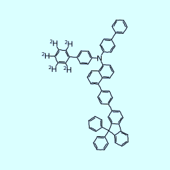 [2H]c1c([2H])c([2H])c(-c2ccc(N(c3ccc(-c4ccccc4)cc3)c3cccc4c(-c5ccc(-c6ccc7c(c6)C(c6ccccc6)(c6ccccc6)c6ccccc6-7)cc5)cccc34)cc2)c([2H])c1[2H]